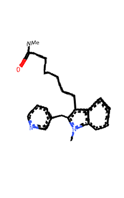 CNC(=O)CCCCCc1c(-c2cccnc2)n(C)c2ccccc12